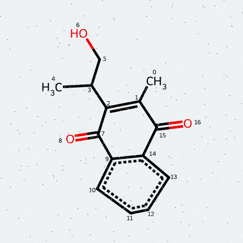 CC1=C(C(C)CO)C(=O)c2ccccc2C1=O